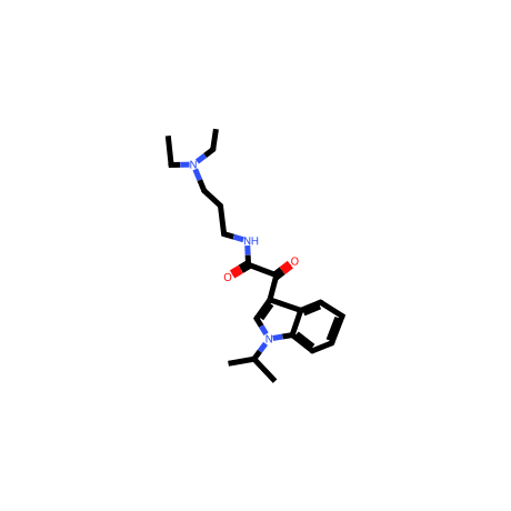 CCN(CC)CCCNC(=O)C(=O)c1cn(C(C)C)c2ccccc12